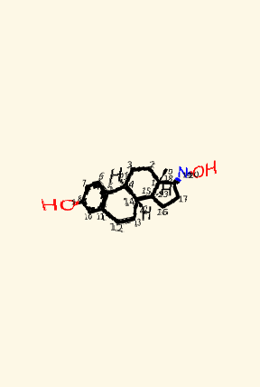 C[C@]12CC[C@@H]3c4ccc(O)cc4CC[C@H]3[C@@H]1CC/C2=N\O